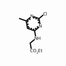 CCOC(=O)CNc1cc(C)nc(Cl)n1